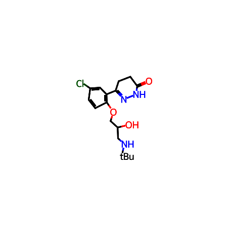 CC(C)(C)NCC(O)COc1ccc(Cl)cc1C1=NNC(=O)CC1